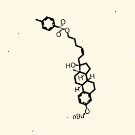 CCCCOc1ccc2c(c1)CC[C@@H]1[C@@H]2CC[C@@]2(C)[C@H]1CC[C@@]2(O)C/C=C\CCCOS(=O)(=O)c1ccc(C)cc1